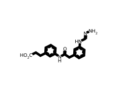 NN=CNc1cccc(CC(=O)Nc2cccc(CCC(=O)O)c2)c1